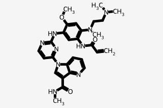 C=CC(=O)Nc1cc(Nc2nccc(-n3cc(C(=O)NC)c4ncccc43)n2)c(OC)cc1N(C)CCN(C)C